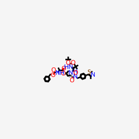 Cc1ncsc1-c1ccc(CNC(=O)[C@@H]2C[C@@H](OC(=O)C(C)NC(=O)OCc3ccccc3)CN2C(=O)[C@@H](NC(=O)OC(C)(C)C)C(C)(C)C)cc1